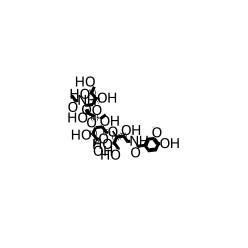 CC[C@@](OC1C(O)[C@H](O[C@H](C(O)CO)[C@H](O)CNC(=O)c2ccc(O)c(OC)c2)O[C@@H](CO)[C@@H]1O)(OC(CNC(C)=O)[C@H](O)[C@H](O)CO)C(=O)O